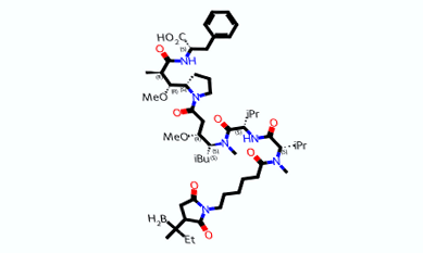 BC(C)(CC)C1CC(=O)N(CCCCCC(=O)N(C)[C@H](C(=O)N[C@H](C(=O)N(C)[C@@H]([C@@H](C)CC)[C@@H](CC(=O)N2CCC[C@H]2[C@H](OC)[C@@H](C)C(=O)N[C@@H](Cc2ccccc2)C(=O)O)OC)C(C)C)C(C)C)C1=O